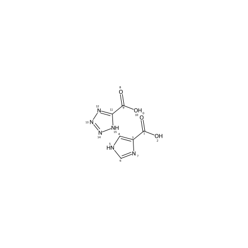 O=C(O)c1c[nH]cn1.O=C(O)c1nnn[nH]1